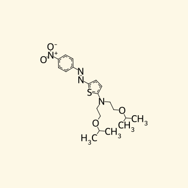 CC(C)OCCN(CCOC(C)C)c1ccc(N=Nc2ccc([N+](=O)[O-])cc2)s1